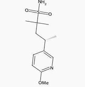 COc1ccc([C@@H](C)CC(C)(C)S(N)(=O)=O)cn1